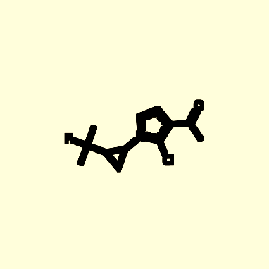 CC(=O)c1ccn(C2CC2C(C)(C)F)c1Cl